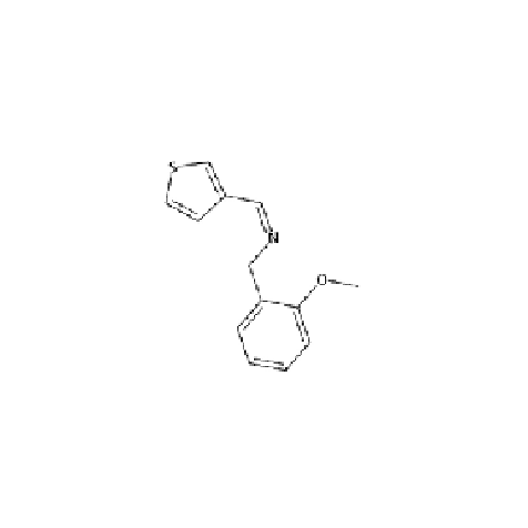 COc1ccccc1C/N=C\c1ccsc1